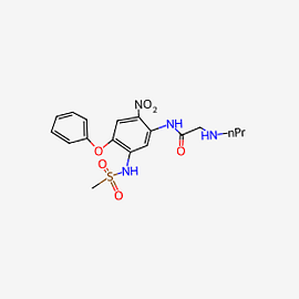 CCCNCC(=O)Nc1cc(NS(C)(=O)=O)c(Oc2ccccc2)cc1[N+](=O)[O-]